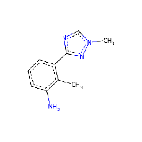 Cc1c(N)cccc1-c1ncn(C)n1